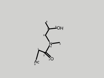 CC(=O)CC(=O)N(C)CC(C)O